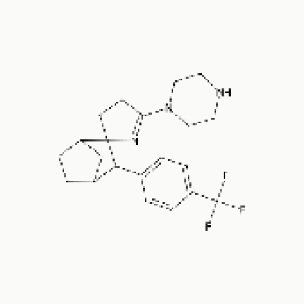 FC(F)(F)c1ccc(C2C3CCC(C3)C23CCC(N2CCNCC2)=N3)cc1